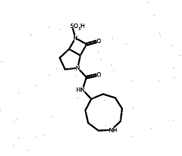 O=C(NC1CCCCNCCC1)N1CCC2C1C(=O)N2S(=O)(=O)O